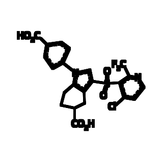 O=C(O)c1ccc(-n2cc(S(=O)(=O)c3c(Cl)ccnc3C(F)(F)F)c3c2CCC(C(=O)O)C3)cc1